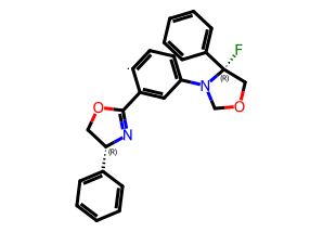 F[C@]1(c2ccccc2)COCN1c1cc[c]c(C2=N[C@H](c3ccccc3)CO2)c1